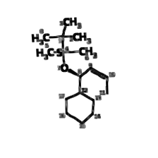 CC(C)(C)[Si](C)(C)O[C@@H](/C=C\I)C1CCCCC1